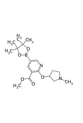 COC(=O)c1cc(B2OC(C)(C)C(C)(C)O2)cnc1OC1CCN(C)C1